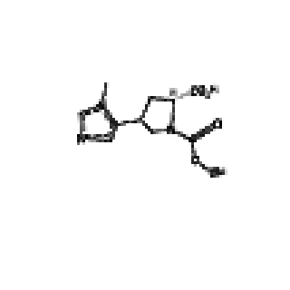 Cn1cncc1C1C[C@H](C(=O)O)N(C(=O)OC(C)(C)C)C1